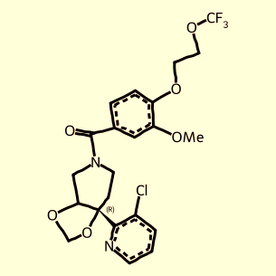 COc1cc(C(=O)N2CC[C@]3(c4ncccc4Cl)OCOC3C2)ccc1OCCOC(F)(F)F